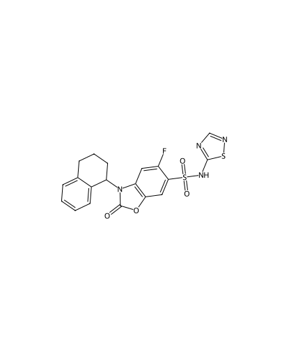 O=c1oc2cc(S(=O)(=O)Nc3ncns3)c(F)cc2n1C1CCCc2ccccc21